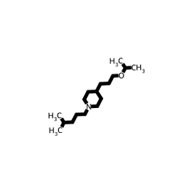 CC(C)CCCN1CCC(CCCOC(C)C)CC1